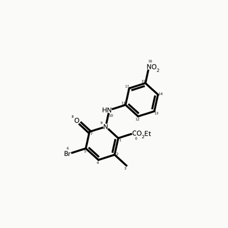 CCOC(=O)c1c(C)cc(Br)c(=O)n1Nc1cccc([N+](=O)[O-])c1